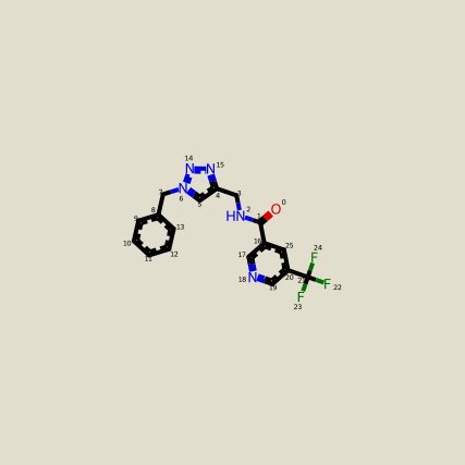 O=C(NCc1cn(Cc2ccccc2)nn1)c1cncc(C(F)(F)F)c1